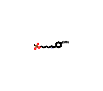 COc1ccc(/C=C/CCCCOS(C)(=O)=O)cc1